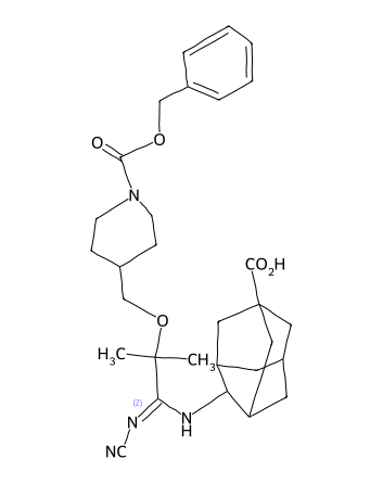 CC(C)(OCC1CCN(C(=O)OCc2ccccc2)CC1)/C(=N/C#N)NC1C2CC3CC1CC(C(=O)O)(C3)C2